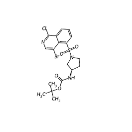 CC(C)(C)OC(=O)N[C@@H]1CCN(S(=O)(=O)c2cccc3c(Cl)ncc(Br)c23)C1